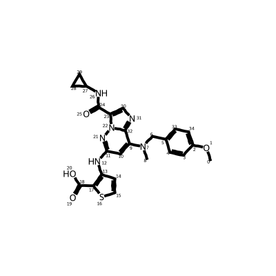 COc1ccc(CN(C)c2cc(Nc3ccsc3C(=O)O)nn3c(C(=O)NC4CC4)cnc23)cc1